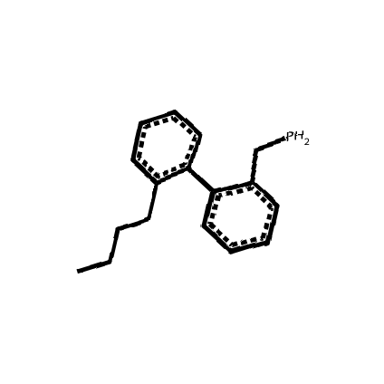 CCCCc1ccccc1-c1ccccc1CP